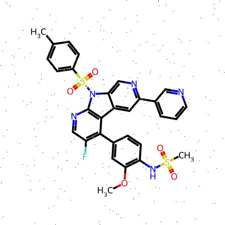 COc1cc(-c2c(F)cnc3c2c2cc(-c4cccnc4)ncc2n3S(=O)(=O)c2ccc(C)cc2)ccc1NS(C)(=O)=O